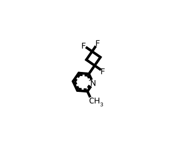 Cc1cccc(C2(F)CC(F)(F)C2)n1